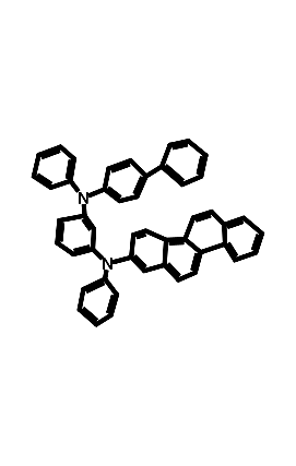 c1ccc(-c2ccc(N(c3ccccc3)c3cccc(N(c4ccccc4)c4ccc5c(ccc6c7ccccc7ccc56)c4)c3)cc2)cc1